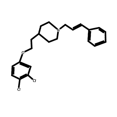 Clc1ccc(OCCC2CCN(CC=Cc3ccccc3)CC2)cc1Cl